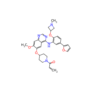 C=CC(=O)N1CCC(Oc2cc3c(Nc4cc(-c5ccco5)ccc4OC4CN(C)C4)ncnc3cc2OC)CC1